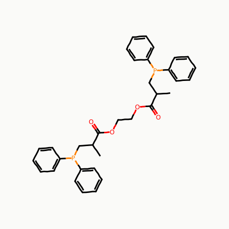 CC(CP(c1ccccc1)c1ccccc1)C(=O)OCCOC(=O)C(C)CP(c1ccccc1)c1ccccc1